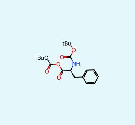 CC(C)COC(=O)OC(=O)[C@H](Cc1ccccc1)NC(=O)OC(C)(C)C